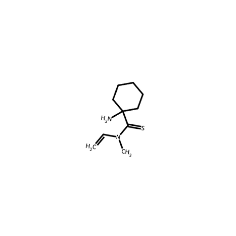 C=CN(C)C(=S)C1(N)CCCCC1